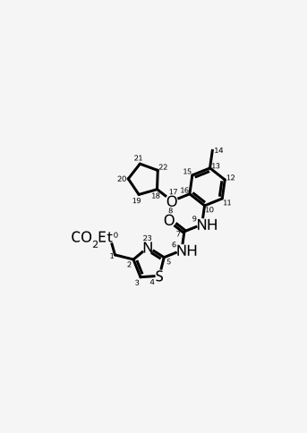 CCOC(=O)Cc1csc(NC(=O)Nc2ccc(C)cc2OC2CCCC2)n1